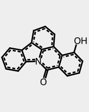 O=c1c2cccc(O)c2c2cccc3c4ccccc4n1c32